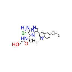 Cc1ccc2ncc(-c3cnn4c(N)c(Br)c(C(C)NC(=O)CCO)nc34)cc2c1